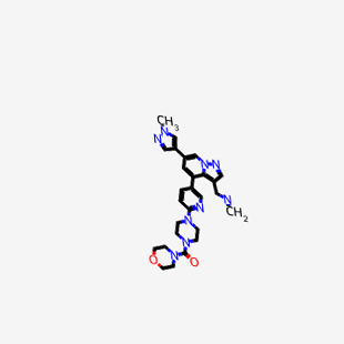 C=NCc1cnn2cc(-c3cnn(C)c3)cc(-c3ccc(N4CCN(C(=O)N5CCOCC5)CC4)nc3)c12